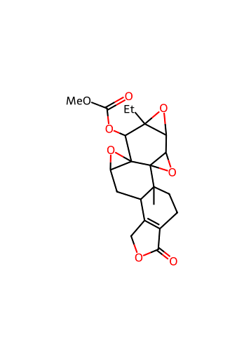 CCC12OC1C1OC13C1(C)CCC4=C(COC4=O)C1CC1OC13C2OC(=O)OC